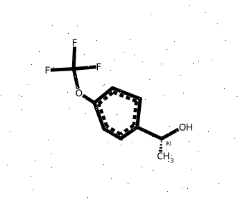 C[C@@H](O)c1ccc(OC(F)(F)F)cc1